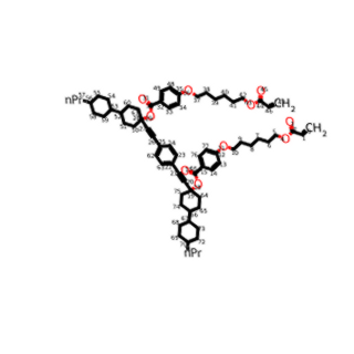 C=CC(=O)OCCCCCCOc1ccc(C(=O)OC2(C#Cc3ccc(C#CC4(OC(=O)c5ccc(OCCCCCCOC(=O)C=C)cc5)CCC(C5CCC(CCC)CC5)CC4)cc3)CCC(C3CCC(CCC)CC3)CC2)cc1